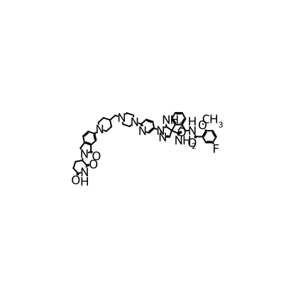 COc1ccc(F)cc1C(=O)NCc1ccccc1C1(C(N)=O)C=NN(c2ccc(N3CCN(CC4CCN(c5ccc6c(c5)C(=O)N(C5CCC(=O)NC5=O)C6)CC4)CC3)nc2)C1N